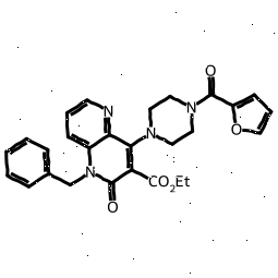 CCOC(=O)c1c(N2CCN(C(=O)c3ccco3)CC2)c2ncccc2n(Cc2ccccc2)c1=O